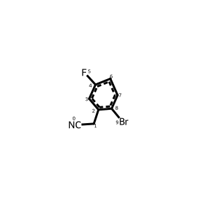 N#CCc1cc(F)ccc1Br